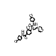 O=C(Nc1ccc(Cl)cc1)c1ccc(N(CCN2CCOCC2)C(=O)Nc2ccc(Cl)cc2)c(Cl)c1